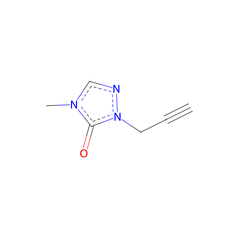 C#CCn1ncn(C)c1=O